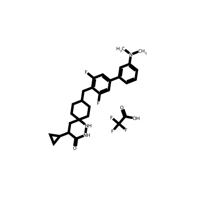 CN(C)c1cccc(-c2cc(F)c(CC3CCC4(CC3)CC(C3CC3)C(=O)NN4)c(F)c2)c1.O=C(O)C(F)(F)F